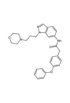 O=C(Cc1ccc(Oc2ccccc2)cc1)Nc1ccc2cnn(CCCN3CCOCC3)c2c1